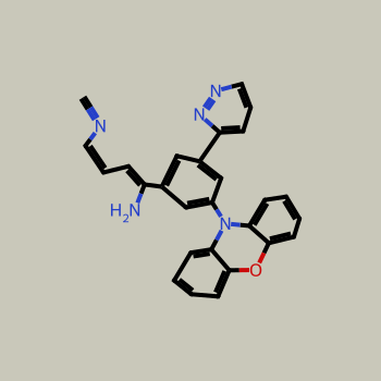 C=N/C=C\C=C(/N)c1cc(-c2cccnn2)cc(N2c3ccccc3Oc3ccccc32)c1